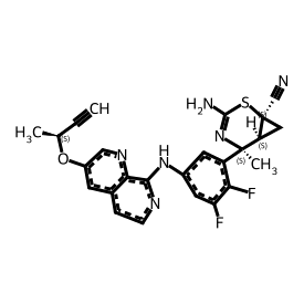 C#C[C@H](C)Oc1cnc2c(Nc3cc(F)c(F)c([C@@]4(C)N=C(N)S[C@@]5(C#N)C[C@H]54)c3)nccc2c1